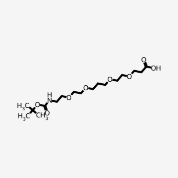 CC(C)(C)OC(=O)NCCOCCOCCCOCCOCCC(=O)O